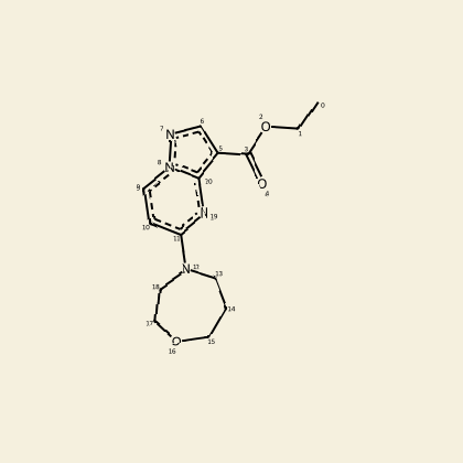 CCOC(=O)c1cnn2ccc(N3CCCOCC3)nc12